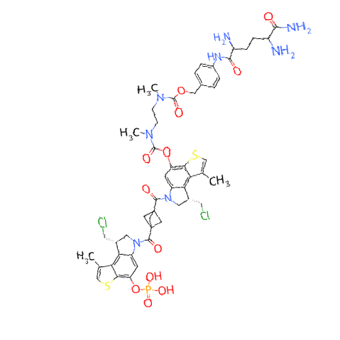 Cc1csc2c(OC(=O)N(C)CCN(C)C(=O)OCc3ccc(NC(=O)[C@@H](N)CCC(N)C(N)=O)cc3)cc3c(c12)[C@H](CCl)CN3C(=O)C12CC(C(=O)N3C[C@@H](CCl)c4c3cc(OP(=O)(O)O)c3scc(C)c43)(C1)C2